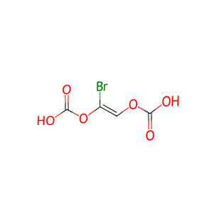 O=C(O)O/C=C(\Br)OC(=O)O